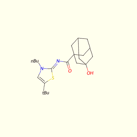 CCCCn1cc(C(C)(C)C)sc1=NC(=O)C12CC3CC(CC(O)(C3)C1)C2